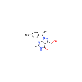 Cc1nc2c(c(CO)nn2[C@H](c2ccc(C(C)(C)C)cc2)C(C)C)c(=O)[nH]1